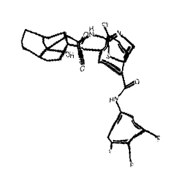 O=C(CC1(O)C2CCC1CC(S(=O)(=O)c1cc(C(=O)Nc3cc(F)c(F)c(F)c3)ccc1Cl)C2)Nc1nccs1